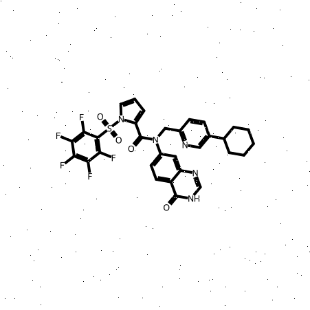 O=C(c1cccn1S(=O)(=O)c1c(F)c(F)c(F)c(F)c1F)N(Cc1ccc(C2CCCCC2)cn1)c1ccc2c(=O)[nH]cnc2c1